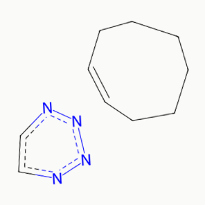 C1=CCCCCCC1.c1cnnnn1